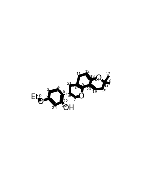 CCOc1ccc([C@H]2COC3=C(CC=C4OC(C)(C)CC=C43)C2)c(O)c1